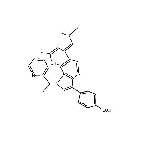 C/C(C=O)=C/C(=C\N(C)C)c1cnc2c(-c3ccc(C(=O)O)cc3)cn(C(C)c3ccccn3)c2c1